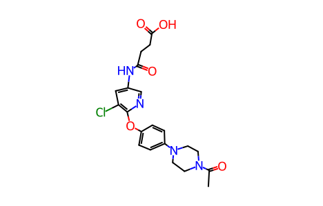 CC(=O)N1CCN(c2ccc(Oc3ncc(NC(=O)CCC(=O)O)cc3Cl)cc2)CC1